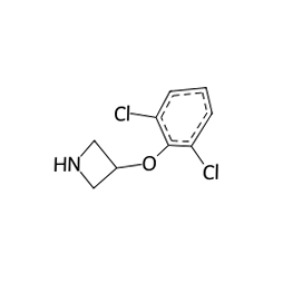 Clc1cccc(Cl)c1OC1CNC1